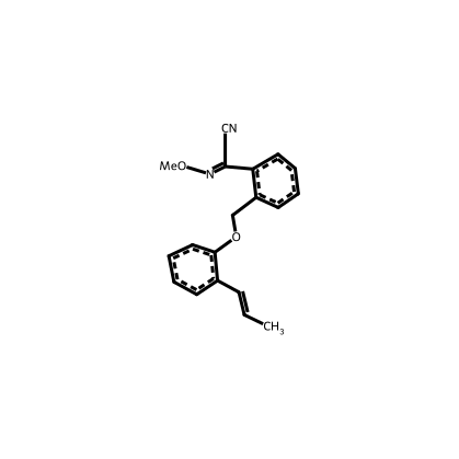 CC=Cc1ccccc1OCc1ccccc1C(C#N)=NOC